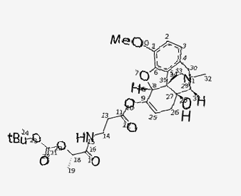 COc1ccc2c3c1O[C@H]1C(OC(=O)CCNC(=O)[C@H](C)OC(=O)OC(C)(C)C)=CC[C@@]4(O)[C@@H](C2)N(C)CC[C@]314